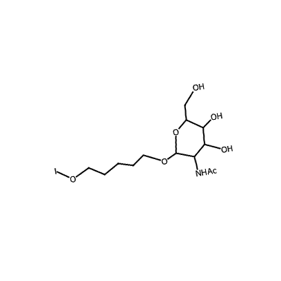 CC(=O)NC1C(OCCCCCOI)OC(CO)C(O)C1O